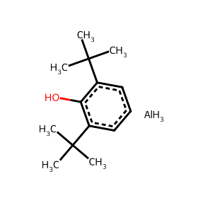 CC(C)(C)c1cccc(C(C)(C)C)c1O.[AlH3]